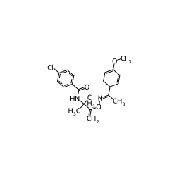 C=C(O/N=C(\C)C1C=CC(OC(F)(F)F)=CC1)C(C)(C)NC(=O)c1ccc(Cl)cc1